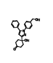 O=C1CCC(O)(c2cc(-c3ccccc3)n(-c3ccc(CO)cc3)n2)CC1